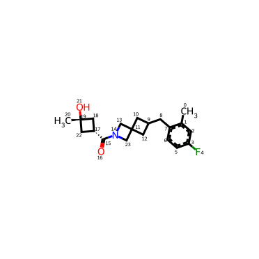 Cc1cc(F)ccc1CC1CC2(C1)CN(C(=O)[C@H]1C[C@@](C)(O)C1)C2